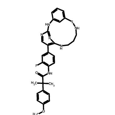 COc1ccc(C(C)(C)C(=O)Nc2ccc(-c3cnc4nc3NCCCNSc3cccc(c3)N4)cc2F)cc1